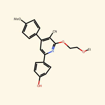 CCOCCOc1nc(-c2ccc(O)cc2)cc(-c2ccc(OC)cc2)c1C#N